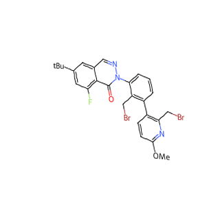 COc1ccc(-c2cccc(-n3ncc4cc(C(C)(C)C)cc(F)c4c3=O)c2CBr)c(CBr)n1